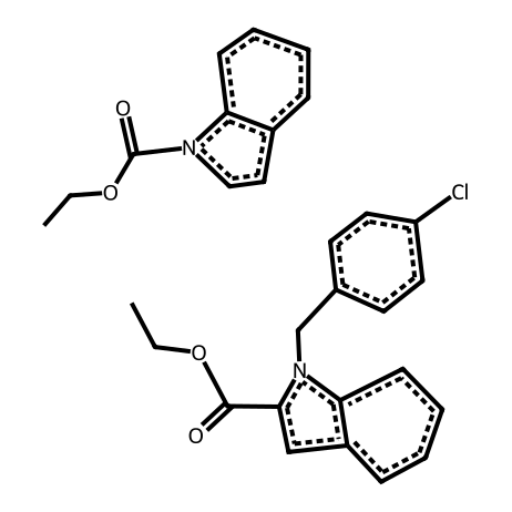 CCOC(=O)c1cc2ccccc2n1Cc1ccc(Cl)cc1.CCOC(=O)n1ccc2ccccc21